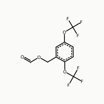 O=[C]OCc1cc(OC(F)(F)F)ccc1OC(F)(F)F